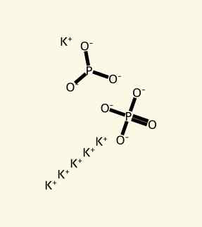 O=P([O-])([O-])[O-].[K+].[K+].[K+].[K+].[K+].[K+].[O-]P([O-])[O-]